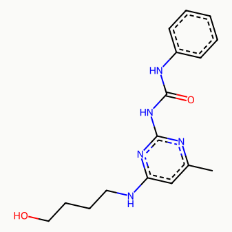 Cc1cc(NCCCCO)nc(NC(=O)Nc2ccccc2)n1